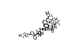 CCC(CC)N1c2cc(NS(=O)(=O)CC(F)(F)F)c(N=Nc3nnc(C(=O)OCCOC)s3)cc2CCC1CC